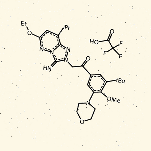 CCOc1cc(C(C)C)c2nn(CC(=O)c3cc(N4CCOCC4)c(OC)c(C(C)(C)C)c3)c(=N)n2n1.O=C(O)C(F)(F)F